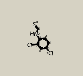 S=CNc1ccc(Cl)cc1Cl